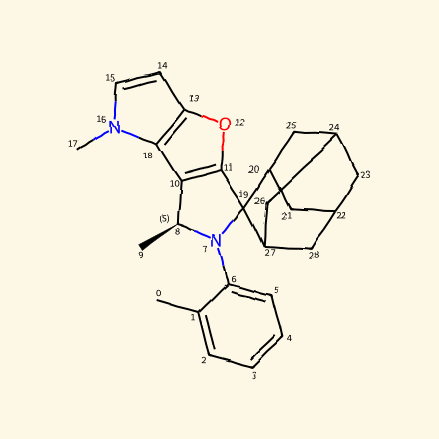 Cc1ccccc1N1[C@@H](C)c2c(oc3ccn(C)c23)C12C1CC3CC(C1)CC2C3